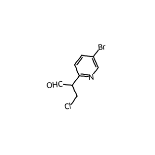 O=CC(CCl)c1ccc(Br)cn1